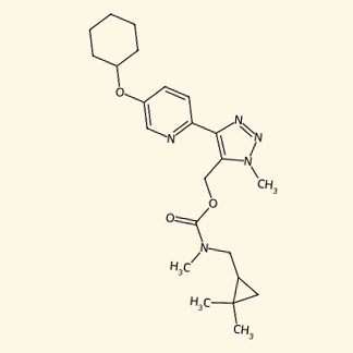 CN(CC1CC1(C)C)C(=O)OCc1c(-c2ccc(OC3CCCCC3)cn2)nnn1C